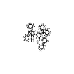 C1=C(c2cc(C3CCc4ccccc4-c4ccccc43)cc(-n3c4ccccc4c4ccccc43)c2)NC(c2ccccc2)N=C1c1ccccc1